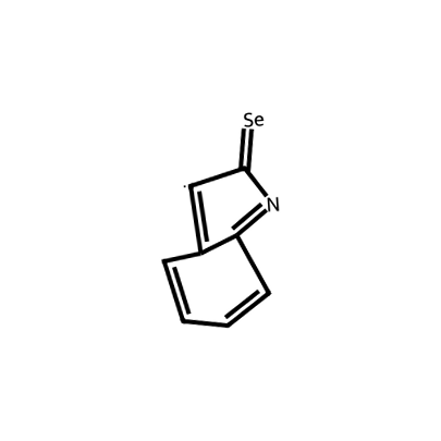 [Se]=C1[C]=c2ccccc2=N1